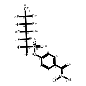 CCN(CC)C(=O)c1ccc(OS(=O)(=O)C(F)(F)C(F)(F)C(F)(F)C(F)(F)C(F)(F)C(F)(F)F)cc1